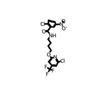 O=C(NCCCCOc1cc(C(F)(F)F)cc(Cl)n1)c1cc([N+](=O)[O-])ccc1Cl